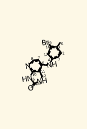 Cc1ccc(Nc2ccnc3c2CNC(=O)N3)cc1Br